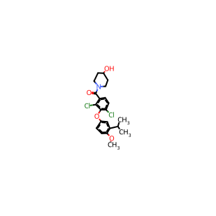 COc1ccc(Oc2c(Cl)ccc(C(=O)N3CCC(O)CC3)c2Cl)cc1C(C)C